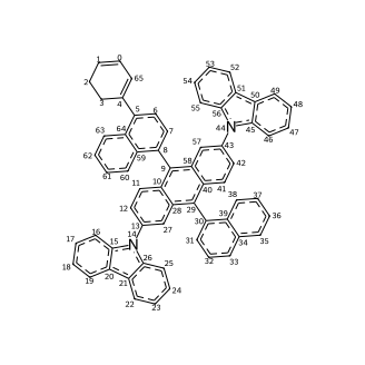 C1=CCCC(c2ccc(-c3c4ccc(-n5c6ccccc6c6ccccc65)cc4c(-c4cccc5ccccc45)c4ccc(-n5c6ccccc6c6ccccc65)cc34)c3ccccc23)=C1